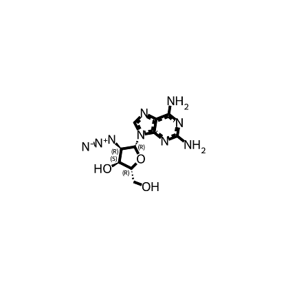 [N-]=[N+]=N[C@@H]1[C@H](O)[C@@H](CO)O[C@H]1n1cnc2c(N)nc(N)nc21